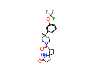 O=C1CCC2(CCC2C(=O)N2CCC3(c4cccc(OC(F)(F)F)c4)CC3C2)N1